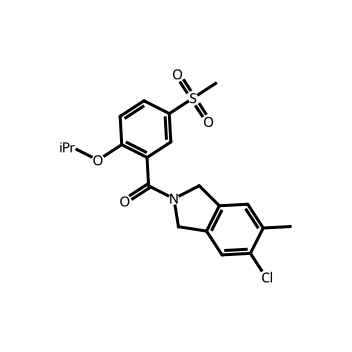 Cc1cc2c(cc1Cl)CN(C(=O)c1cc(S(C)(=O)=O)ccc1OC(C)C)C2